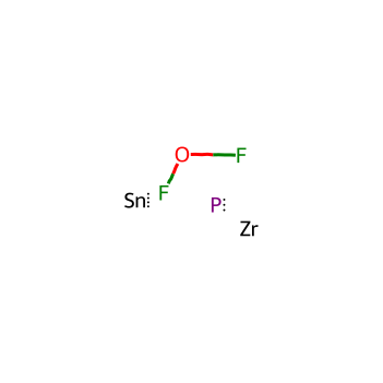 FOF.[P].[Sn].[Zr]